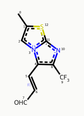 Cc1cn2c(/C=C/C=O)c(C(F)(F)F)nc2s1